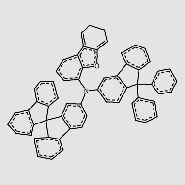 C1=c2oc3c(N(c4ccc5c(c4)-c4ccccc4C5(c4ccccc4)c4ccccc4)c4ccc5c(c4)C4(c6ccccc6-c6ccccc64)c4ccccc4-5)cccc3c2=CCC1